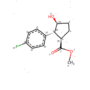 COC(=O)[C@@H]1CC[C@H](O)[C@H]1c1ccc(F)cc1